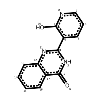 O=c1[nH]c(-c2cccnc2O)nc2ccccc12